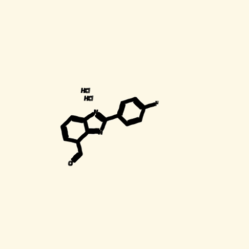 Cl.Cl.O=CC1C=CC=C2N=C(c3ccc(F)cc3)N=C21